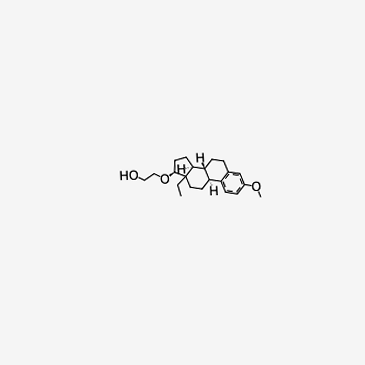 CCC12CC[C@@H]3c4ccc(OC)cc4CC[C@H]3[C@@H]1CC[C@@H]2OCCO